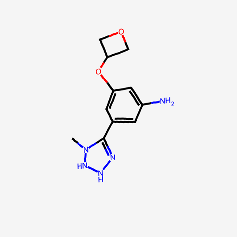 CN1NNN=C1c1cc(N)cc(OC2COC2)c1